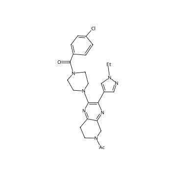 CCn1cc(-c2nc3c(nc2N2CCN(C(=O)c4ccc(Cl)cc4)CC2)CCN(C(C)=O)C3)cn1